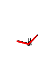 CCCCCCCCCCCCCCCCO[PH](=O)OCCCCCCCCCCCCCCCC